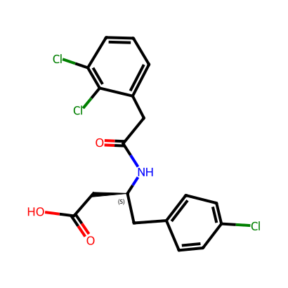 O=C(O)C[C@H](Cc1ccc(Cl)cc1)NC(=O)Cc1cccc(Cl)c1Cl